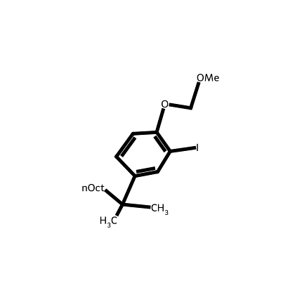 CCCCCCCCC(C)(C)c1ccc(OCOC)c(I)c1